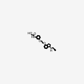 C#CCNC1CCc2c(OCCOc3cccc(NC(=O)CO)c3)cccc21